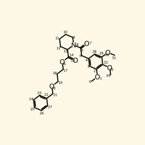 COc1cc(CC(=O)N2CCCCC2C(=O)OCCCOCc2ccccc2)cc(OC)c1OC